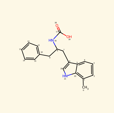 Cc1cccc2c(CC(Cc3ccccc3)NC(=O)O)c[nH]c12